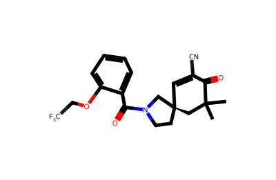 CC1(C)C[C@@]2(C=C(C#N)C1=O)CCN(C(=O)c1ccccc1OCC(F)(F)F)C2